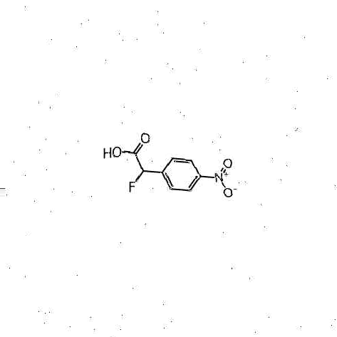 O=C(O)C(F)c1ccc([N+](=O)[O-])cc1